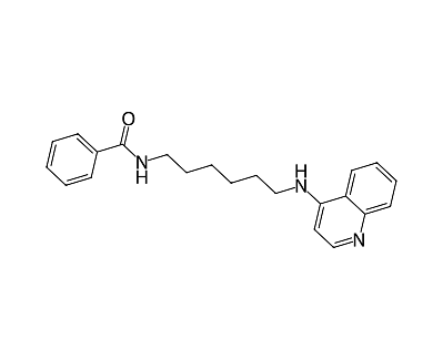 O=C(NCCCCCCNc1ccnc2ccccc12)c1ccccc1